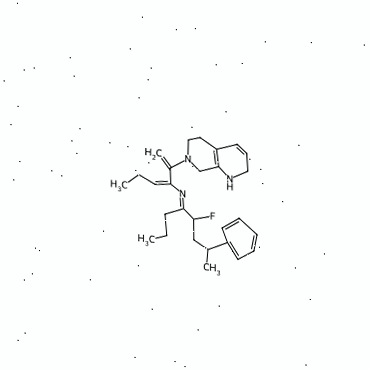 C=C(C(=C\CC)/N=C(\CCC)C(F)CC(C)c1ccccc1)N1CCC2=C(C1)NCC=C2